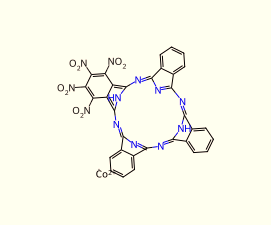 O=[N+]([O-])c1c([N+](=O)[O-])c([N+](=O)[O-])c2c3nc4nc(nc5[nH]c(nc6nc(nc([nH]3)c2c1[N+](=O)[O-])-c1ccccc1-6)c1ccccc51)-c1ccccc1-4.[Co+2]